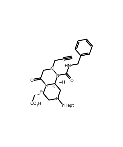 C#CCN1CC(=O)N2[C@@H](CC(=O)O)CN(CCCCCCC)C[C@@H]2N1C(=O)NCc1ccccc1